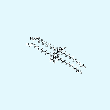 CCCCCCCCCCCCN(CCCCCCCCCCCC)C(=S)[S-].CCCCCCCCCCCCN(CCCCCCCCCCCC)C(=S)[S-].[Cu+2]